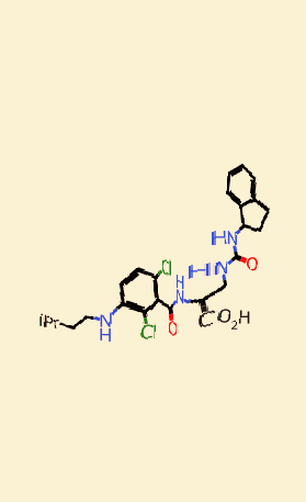 CC(C)CCNc1ccc(Cl)c(C(=O)NC(CNC(=O)NC2CCc3ccccc32)C(=O)O)c1Cl